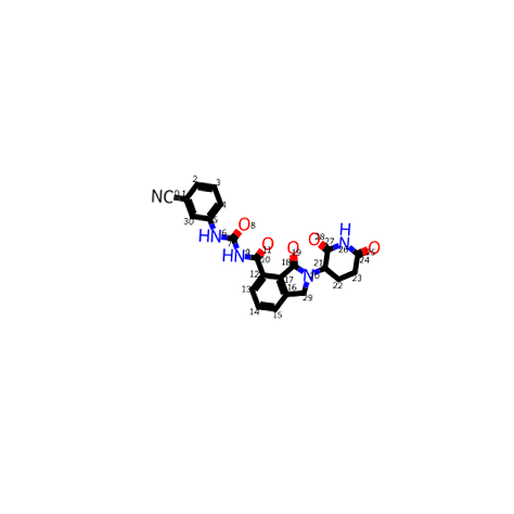 N#Cc1cccc(NC(=O)NC(=O)c2cccc3c2C(=O)N(C2CCC(=O)NC2=O)C3)c1